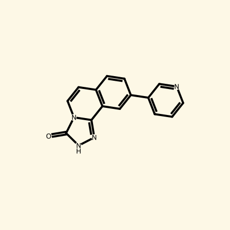 O=c1[nH]nc2c3cc(-c4cccnc4)ccc3ccn12